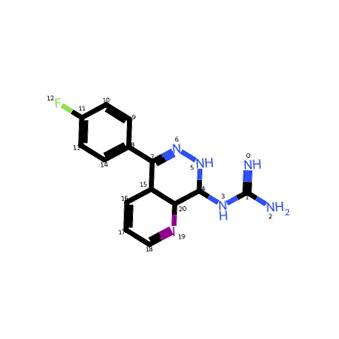 N=C(N)NC1NN=C(c2ccc(F)cc2)C2C=CC=IC12